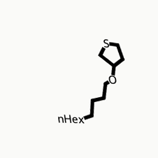 CCCCCCCCCCOC1CCSC1